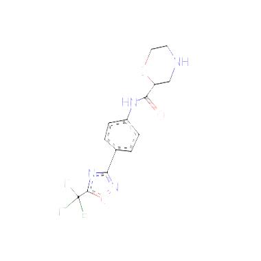 O=C(Nc1ccc(-c2noc(C(F)(F)F)n2)cc1)C1CNCCO1